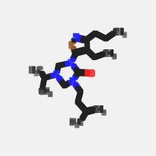 C=C(C)CCN1CN(C(C)C)CN(c2snc(CCC)c2CC)C1=O